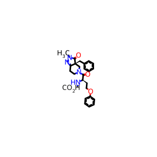 CN1N=C2CCN(C(=O)[C@@H](CCOc3ccccc3)NC(=O)O)C[C@@]2(Cc2ccccc2)C1=O